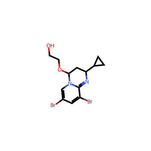 OCCOC1CC(C2CC2)N=C2C(Br)=CC(Br)=CN21